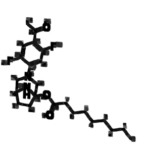 CCCCCCCCC(=O)OC12CCC(CN(c3cc(F)c(C(C)=O)cc3F)C1)N2